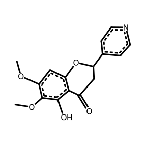 COc1cc2c(c(O)c1OC)C(=O)CC(c1ccncc1)O2